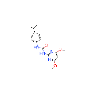 COc1cc(OC)nc(NC(=O)Nc2ccc(C(C)C)cc2)n1